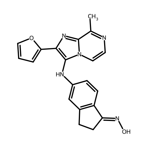 Cc1nccn2c(Nc3ccc4c(c3)CCC4=NO)c(-c3ccco3)nc12